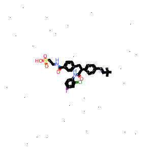 CC(C)(C)/C=C/c1ccc(C(Cc2ccc(C(=O)NCCS(=O)(=O)O)cc2)C(=O)Nc2ccc(I)cc2Cl)cc1